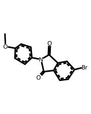 COc1ccc(N2C(=O)c3ccc(Br)cc3C2=O)cc1